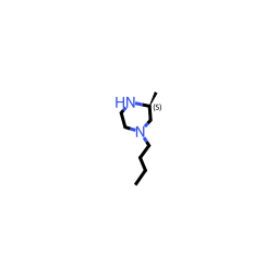 CCCCN1CCN[C@@H](C)C1